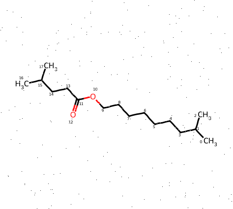 CC(C)CCCCCCCOC(=O)CCC(C)C